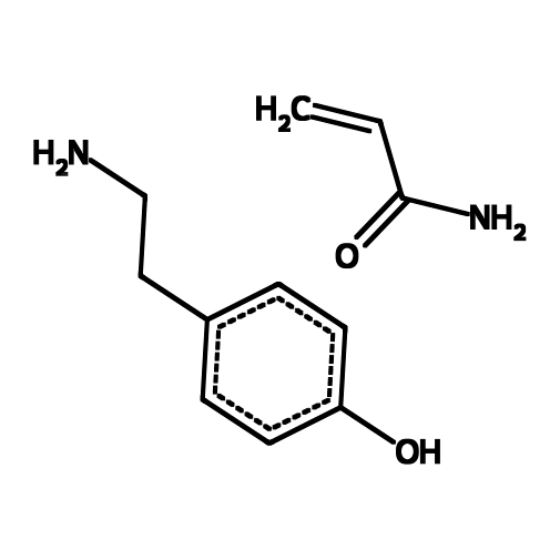 C=CC(N)=O.NCCc1ccc(O)cc1